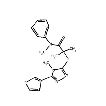 CN(C(=O)C(C)(C)Sc1nnc(-c2ccoc2)n1C)c1ccccc1